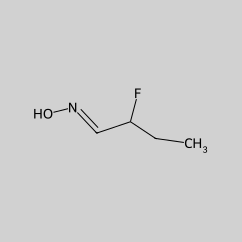 CCC(F)C=NO